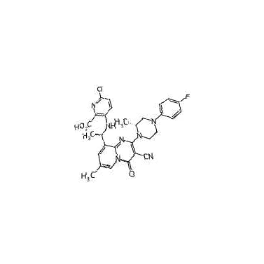 Cc1cc([C@@H](C)Nc2ccc(Cl)nc2C(=O)O)c2nc(N3CCN(c4ccc(F)cc4)C[C@H]3C)c(C#N)c(=O)n2c1